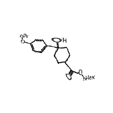 CCCCCCOC(=O)C1CCC(O)(c2ccc(OCCC)cc2)CC1